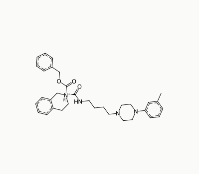 Cc1cccc(N2CCN(CCCCNC(=O)[N@@+]3(C(=O)OCc4ccccc4)CCc4ccccc4C3)CC2)c1